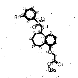 CC(C)(C)OC(=O)COc1cccc2c1CCCCC2NS(=O)(=O)c1cccc(Br)c1